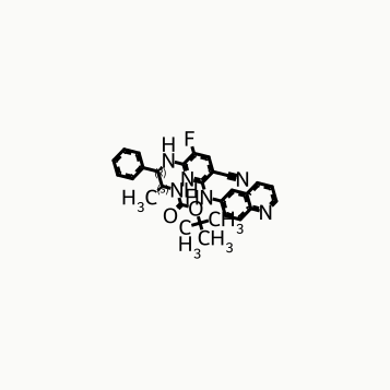 C[C@H](NC(=O)OC(C)(C)C)[C@H](Nc1nc(Nc2ccc3ncccc3c2)c(C#N)cc1F)c1ccccc1